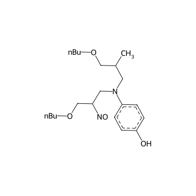 CCCCOCC(C)CN(CC(COCCCC)N=O)c1ccc(O)cc1